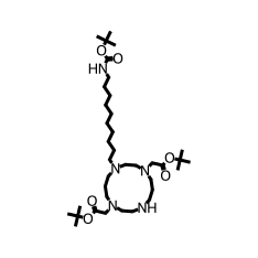 CC(C)(C)OC(=O)CN1CCCN(CCCCCCCCCCNC(=O)OC(C)(C)C)CCN(CC(=O)OC(C)(C)C)CCCNCC1